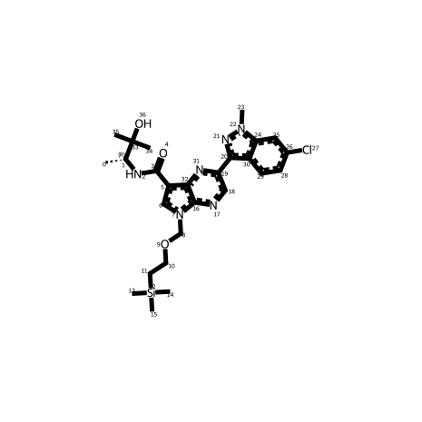 C[C@@H](NC(=O)c1cn(COCC[Si](C)(C)C)c2ncc(-c3nn(C)c4cc(Cl)ccc34)nc12)C(C)(C)O